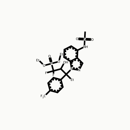 CCOP(=O)(OCC)C(F)(F)C(O)C(CC)(c1ccc(C(F)(F)F)cc1)n1ncc2c(NS(C)(=O)=O)cccc21